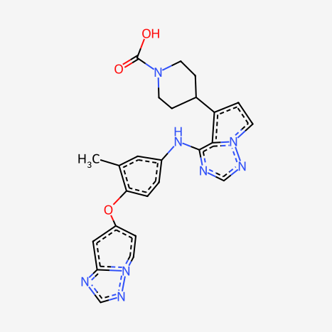 Cc1cc(Nc2ncnn3ccc(C4CCN(C(=O)O)CC4)c23)ccc1Oc1ccn2ncnc2c1